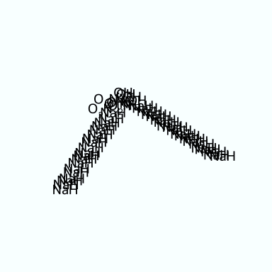 O=[N+]([O-])O.O=[N+]([O-])O.O=[N+]([O-])O.O=[N+]([O-])O.O=[N+]([O-])O.[NaH].[NaH].[NaH].[NaH].[NaH].[NaH].[NaH].[NaH].[NaH].[NaH].[NaH].[NaH].[NaH].[NaH].[NaH].[NaH].[NaH].[NaH].[NaH].[NaH].[NaH].[NaH].[NaH].[NaH].[NaH].[NaH].[NaH].[NaH].[NaH].[NaH].[NaH].[NaH].[NaH].[NaH].[NaH].[NaH].[NaH].[NaH].[NaH]